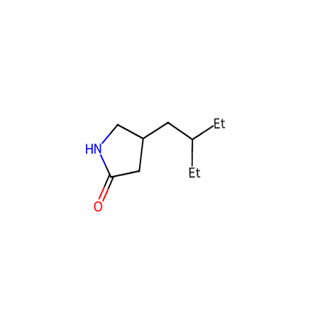 CCC(CC)CC1CNC(=O)C1